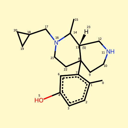 Cc1ccc(O)cc1C12CCNC[C@H]1C(C)N(CC1CC1)CC2